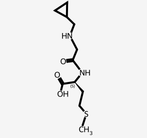 CSCC[C@H](NC(=O)CNCC1CC1)C(=O)O